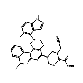 C=CC(=O)N1CCN(c2nc(=O)n(-c3ccccc3C(C)C)c3c2CCN(c2c(C)ccc4[nH]ncc24)C3)CC1CC#N